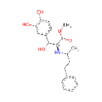 COC(=O)[C@@H](NC(C)CCc1ccccc1)C(O)c1ccc(O)c(O)c1